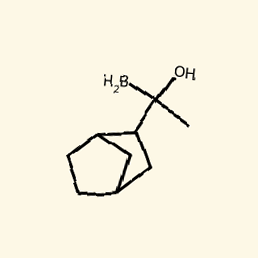 BC(C)(O)C1CC2CCC1C2